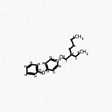 CCCCC(CC)CO[n+]1ccc(Oc2ccccc2)cc1